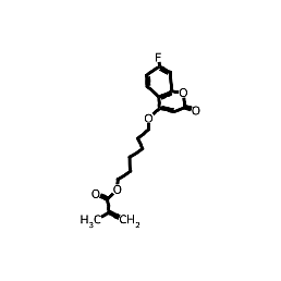 C=C(C)C(=O)OCCCCCCOc1cc(=O)oc2cc(F)ccc12